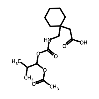 CC(=O)OC(OC(=O)NCC1(CC(=O)O)CCCCC1)C(C)C